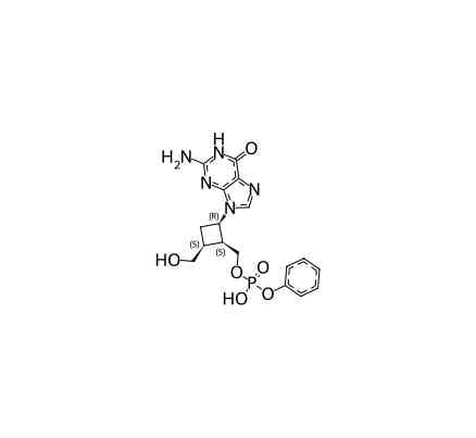 Nc1nc2c(ncn2[C@@H]2C[C@H](CO)[C@@H]2COP(=O)(O)Oc2ccccc2)c(=O)[nH]1